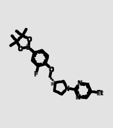 CCc1cnc(N2CC[C@H](COc3ccc(B4OC(C)(C)C(C)(C)O4)cc3F)C2)nc1